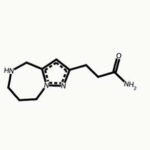 NC(=O)CCc1cc2n(n1)CCCNC2